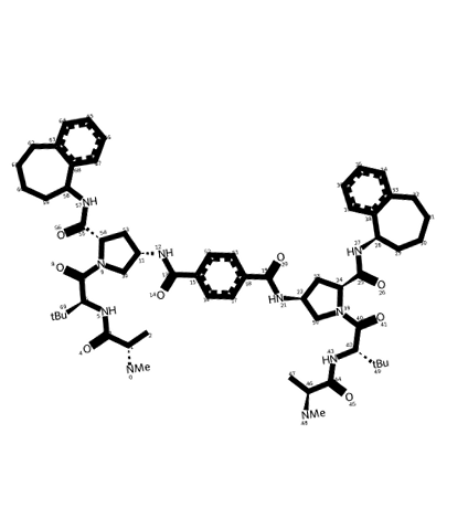 CN[C@@H](C)C(=O)N[C@H](C(=O)N1C[C@@H](NC(=O)c2ccc(C(=O)N[C@H]3C[C@@H](C(=O)N[C@@H]4CCCCc5ccccc54)N(C(=O)[C@@H](NC(=O)[C@H](C)NC)C(C)(C)C)C3)cc2)C[C@H]1C(=O)NC1CCCCc2ccccc21)C(C)(C)C